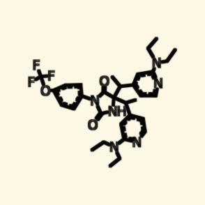 CCN(CC)c1cc(C(C)C2(C(C)c3ccnc(N(CC)CC)c3)NC(=O)N(c3ccc(OC(F)(F)F)cc3)C2=O)ccn1